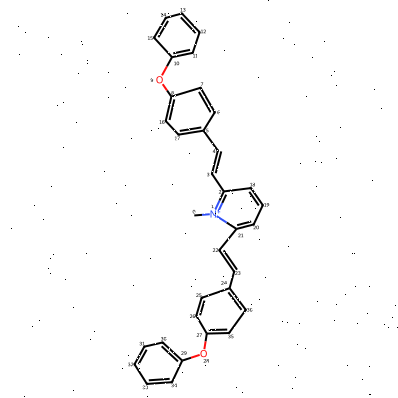 C[n+]1c(/C=C/c2ccc(Oc3ccccc3)cc2)cccc1/C=C/c1ccc(Oc2ccccc2)cc1